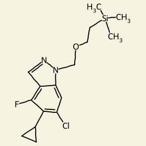 C[Si](C)(C)CCOCn1ncc2c(F)c(C3CC3)c(Cl)cc21